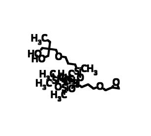 CCC(CO)(CO)COCCC[Si](C)(C)O[Si](C)(CCCOCC1CO1)O[Si](C)(C)O[Si](C)(C)C